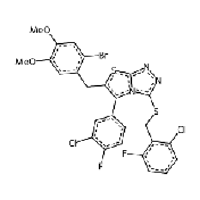 COc1cc(Br)c(Cc2sc3nnc(SCc4c(F)cccc4Cl)n3c2-c2ccc(F)c(Cl)c2)cc1OC